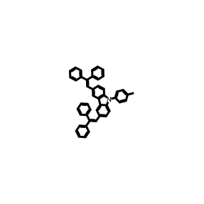 Cc1ccc(-n2c3ccc(C=C(c4ccccc4)c4ccccc4)cc3c3cc(C=C(c4ccccc4)c4ccccc4)ccc32)cc1